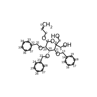 C=CCOC1OC(CO)(CO)[C@@H](OCc2ccccc2)[C@H](OCc2ccccc2)[C@H]1OCc1ccccc1